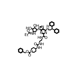 CCC(=O)N[C@H]1C[C@@H](n2cnc3c(NCC(c4ccccc4)c4ccccc4)nc(C(=O)NCCNC(=O)NC4CCN(C(=O)OCc5ccccc5)CC4)nc32)[C@H](O)[C@@H]1O